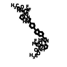 COC(=O)N[C@@H](CC(F)(F)F)C(=O)N1CCC[C@H]1c1ncc(-c2ccc(-c3ccc4cc(-c5cnc([C@@H]6CCCN6C(=O)[C@H](CC(F)(F)F)NC(=O)OC)[nH]5)ccc4c3)cc2)[nH]1